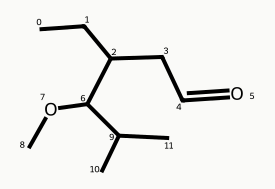 CCC(CC=O)C(OC)C(C)C